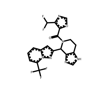 O=C(c1ocnc1C(F)F)N1CCc2[nH]cnc2C1c1cc2cccc(C(F)(F)F)n2n1